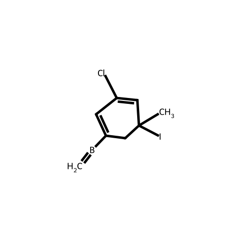 C=BC1=CC(Cl)=CC(C)(I)C1